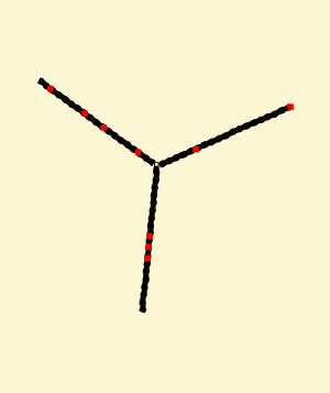 C#CC#CC#CC#CC#CC#CC#CC#CC#CC#CC#CC#CC#CC#CC#CC#CC#CC#CC#CP(C#CC#CC#CC#CC#CC#CC#CC#CC#CC#CC#CC#CC#CC#CC#CC#CC#CC#CC#C)C#CC#CC#CC#CC#CC#CC#CC#CC#CC#CC#CC#CC#CC#CC#CC#CC#CC#CC#C